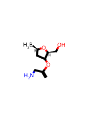 B[C@@H]1CC(OC(=C)CN)[C@H](CO)O1